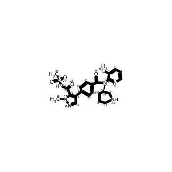 Cc1cccnc1N(C(=O)c1ccc(-c2cnn(C)c2C(=O)NS(C)(=O)=O)cc1)[C@@H]1CCCNC1